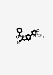 Cn1nc(-c2ccc(CC(C#N)NC(=O)C3CCCCC3)cc2)ccc1=O